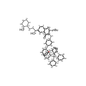 CCCCc1nc2ccc(C(O)CCC3CCCCC3O)cc2c(=O)n1Cc1ccc(-c2ccccc2-c2nnnn2C(c2ccccc2)(c2ccccc2)c2ccccc2)cc1